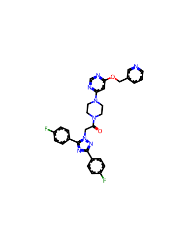 O=C(Cn1nc(-c2ccc(F)cc2)nc1-c1ccc(F)cc1)N1CCN(c2cc(OCc3cccnc3)ncn2)CC1